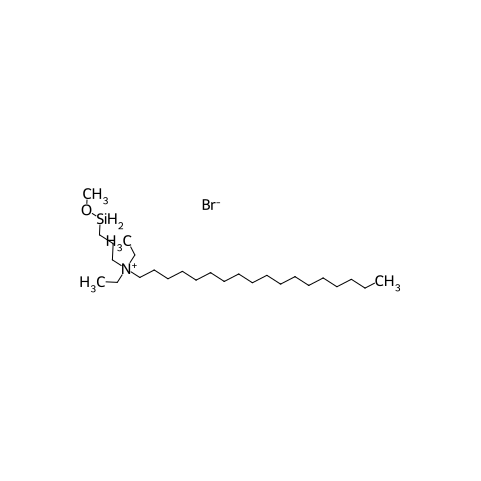 CCCCCCCCCCCCCCCCCC[N+](CC)(CC)CCC[SiH2]OC.[Br-]